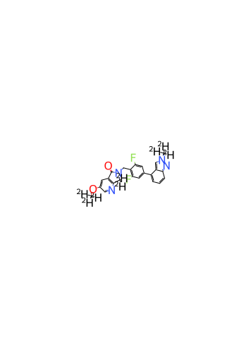 [2H]C([2H])([2H])Oc1cnc2c(c1)C(=O)N(Cc1c(F)cc(-c3cccc4nn(C([2H])([2H])[2H])cc34)cc1F)C2([2H])[2H]